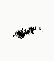 Nc1ncccc1-c1nc2ccc(-c3cccc(CCC(=O)NCCOCCNc4cccc5c4C(=O)N(C4CCC(=O)NC4=O)C5=O)c3)nc2n1-c1ccc(C2(N)CCC2)cc1